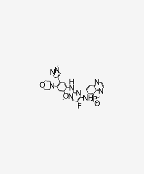 COc1cc(N2CCOCC2)c(-c2cnn(C)c2)cc1Nc1ncc(F)c(Nc2ccc3nccnc3c2P(C)(C)=O)n1